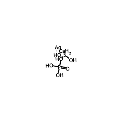 O=P(O)(O)O.O=S(=O)(O)O.[Ag].[CaH2]